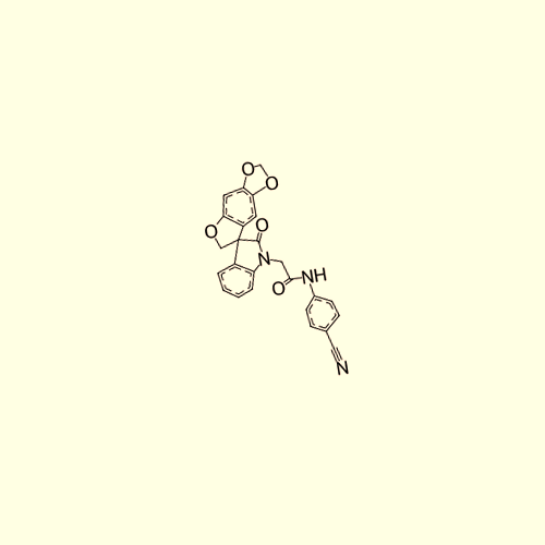 N#Cc1ccc(NC(=O)CN2C(=O)C3(COc4cc5c(cc43)OCO5)c3ccccc32)cc1